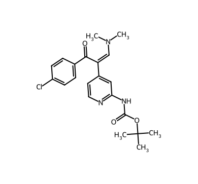 CN(C)/C=C(\C(=O)c1ccc(Cl)cc1)c1ccnc(NC(=O)OC(C)(C)C)c1